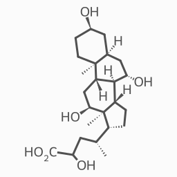 C[C@H](CC(O)C(=O)O)[C@H]1CC[C@H]2[C@@H]3[C@@H](O)C[C@@H]4C[C@H](O)CC[C@]4(C)[C@H]3C[C@H](O)[C@]12C